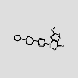 CSc1nnc(C(N)=O)c(Nc2ccc(C3CCN(C4CCCC4)CC3)cc2)n1